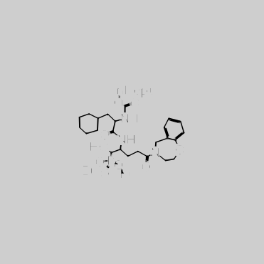 CCCCCCCOC(=O)NC(CC1CCCCC1)C(=O)NC(CCC(=O)N1CCOc2ccccc2C1)C(O)P(=O)(OCC)OCC